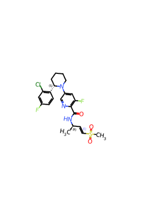 C[C@H](/C=C/S(C)(=O)=O)NC(=O)c1ncc(N2CCCC[C@H]2c2ccc(F)cc2Cl)cc1F